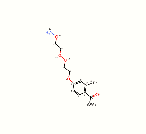 COC(=O)c1ccc(OCCOOCCON)cc1C(C)C